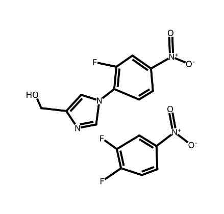 O=[N+]([O-])c1ccc(-n2cnc(CO)c2)c(F)c1.O=[N+]([O-])c1ccc(F)c(F)c1